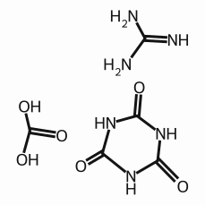 N=C(N)N.O=C(O)O.O=c1[nH]c(=O)[nH]c(=O)[nH]1